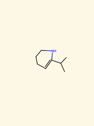 CC(C)C1=CCCCN1